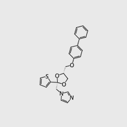 c1ccc(-c2ccc(OC[C@@H]3CO[C@@](Cn4ccnc4)(c4cccs4)O3)cc2)cc1